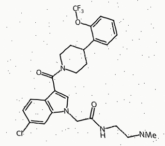 CNCCNC(=O)Cn1cc(C(=O)N2CCC(c3ccccc3OC(F)(F)F)CC2)c2ccc(Cl)cc21